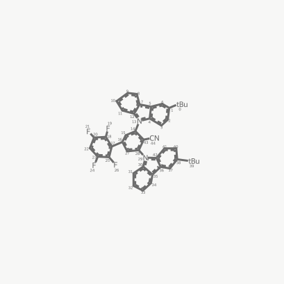 CC(C)(C)c1ccc2c(c1)c1ccccc1n2-c1cc(-c2c(F)c(F)cc(F)c2F)cc(-n2c3ccccc3c3cc(C(C)(C)C)ccc32)c1C#N